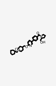 O=C(c1ccc(-c2ccc(OCC3CCN(CC4(C(F)(F)F)CCCCC4)CC3)nc2)cc1)N1CCCC1CO